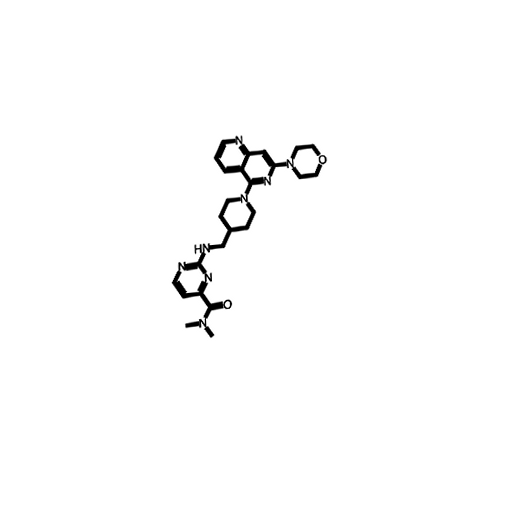 CN(C)C(=O)c1ccnc(NCC2CCN(c3nc(N4CCOCC4)cc4ncccc34)CC2)n1